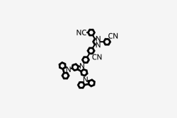 N#Cc1cccc(-c2cc(-c3ccc(-c4ccc(-n5c6ccc(-n7c8ccccc8c8ccccc87)cc6c6cc(-n7c8ccccc8c8ccccc87)ccc65)cc4)c(C#N)c3)nc(-c3cccc(C#N)c3)n2)c1